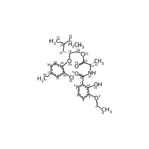 CCOc1ccnc(C(=O)N[C@@H](C)C(=O)O[C@@H](C)[C@@H](CC(C)C)Oc2ccc(C)cc2Cl)c1O